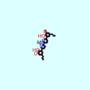 C=CCc1cc(OC)c(O)c(-c2ccc(-c3ccc(-c4cc(CC=C)cc(OC)c4O)cn3)nc2)c1.[Mn]